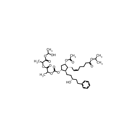 CC(=O)O[C@H]1C[C@@H](OC(=O)OC(C)C(=O)OC(C)C(=O)OC(C)O)[C@H](CC[C@@H](O)CCc2ccccc2)[C@H]1C/C=C\CCCC(=O)OC(C)C